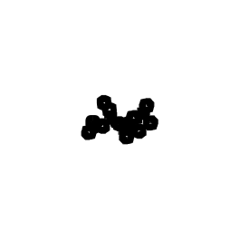 c1ccc(N(c2ccccc2)c2ccc3c(c2)[Si](c2ccccc2)(c2ccccc2)c2ccc(N(c4ccc5ccccc5c4)c4ccc5c(c4)oc4ccccc45)cc2-3)cc1